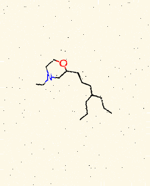 CCCC(CCC)CCCC1CN(CC)CCO1